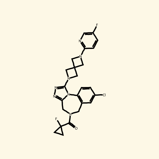 O=C(N1Cc2cc(Cl)ccc2-n2c(nnc2N2CC3(CN(c4ccc(F)cn4)C3)C2)C1)C1(F)CC1